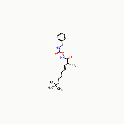 CC(C=CCCCCC(C)(C)C)C(=O)NOC(=O)NCc1ccccc1